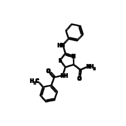 Cc1ccccc1C(=O)NC1SC(NC2=CC=CCC2)=NC1C(N)=O